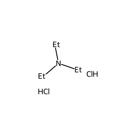 CCN(CC)CC.Cl.Cl